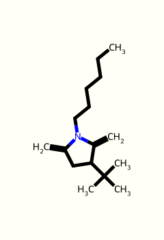 C=C1CC(C(C)(C)C)C(=C)N1CCCCCC